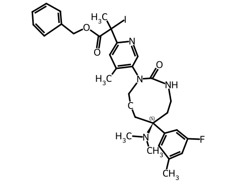 Cc1cc(F)cc([C@]2(N(C)C)CCCN(c3cnc(C(C)(I)C(=O)OCc4ccccc4)cc3C)C(=O)NCC2)c1